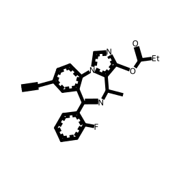 C#Cc1ccc2c(c1)C(c1ccccc1F)=NC(C)c1c(OC(=O)CC)ncn1-2